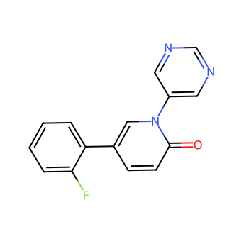 O=c1ccc(-c2ccccc2F)cn1-c1cncnc1